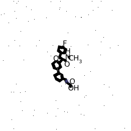 CNC(=O)c1c(-c2ccc(F)cc2)oc2ccc(-c3cccc(/C=C/C(=O)O)c3)cc12